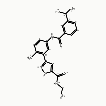 Cc1ccc(NC(=O)c2cccc(C(O)C(C)(C)C)c2)cc1-c1cc(C(=O)NCC(C)(C)C)on1